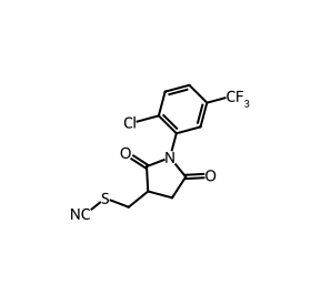 N#CSCC1CC(=O)N(c2cc(C(F)(F)F)ccc2Cl)C1=O